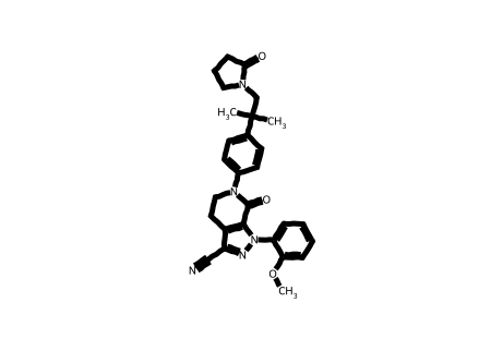 COc1ccccc1-n1nc(C#N)c2c1C(=O)N(c1ccc(C(C)(C)CN3CCCC3=O)cc1)CC2